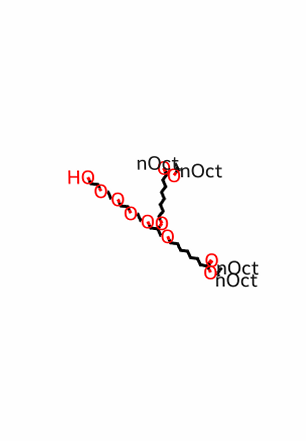 CCCCCCCCC(CCCCCCCC)OC(=O)CCCCCCCOCC(COCCOCCOCCOCCO)OCCCCCCCC(=O)OC(CCCCCCCC)CCCCCCCC